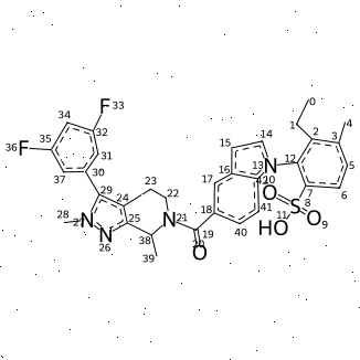 CCc1c(C)ccc(S(=O)(=O)O)c1-n1ccc2cc(C(=O)N3CCc4c(nn(C)c4-c4cc(F)cc(F)c4)C3C)ccc21